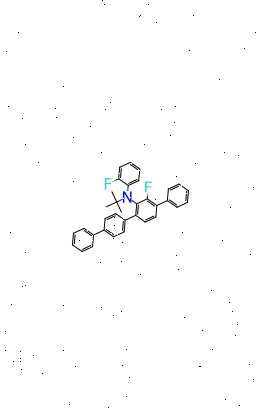 CC(C)(C)N(c1ccccc1F)c1c(-c2ccc(-c3ccccc3)cc2)ccc(-c2ccccc2)c1F